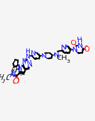 CN(C)C(=O)c1cc2cnc(Nc3ccc(N4CCC(N(C)Cc5ccc(N6CCC(=O)NC6=O)cn5)CC4)cn3)nc2n1C1CCCC1